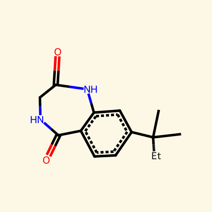 CCC(C)(C)c1ccc2c(c1)NC(=O)CNC2=O